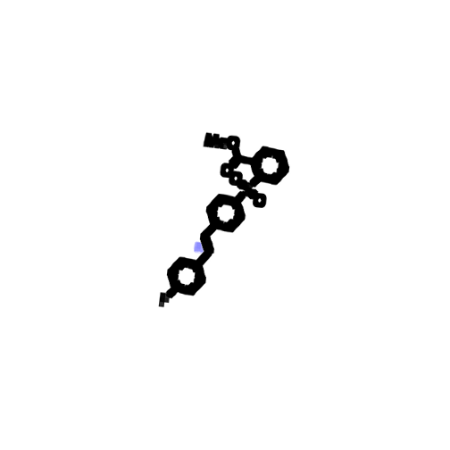 COC(=O)c1ccccc1S(=O)(=O)c1ccc(/C=C/c2ccc(F)cc2)cc1